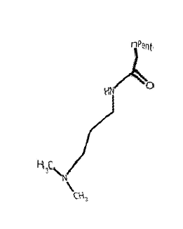 [CH2]CCC[CH]C(=O)NCCCN(C)C